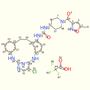 Cc1cc(C(=O)N2CCC(NC(=O)Nc3ccc4cc3CCc3cccc(c3)Nc3ncc(Cl)c(n3)N4)CC2)no1.O=C(O)C(F)(F)F